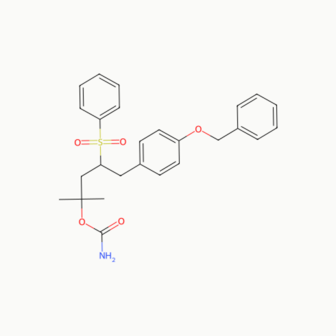 CC(C)(CC(Cc1ccc(OCc2ccccc2)cc1)S(=O)(=O)c1ccccc1)OC(N)=O